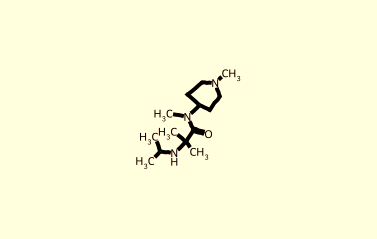 CC(C)NC(C)(C)C(=O)N(C)C1CCN(C)CC1